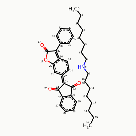 CCCCCCCCNCCCCCCCC.O=C1Oc2cc(=C3C(=O)c4ccccc4C3=O)ccc2=C1c1ccccc1